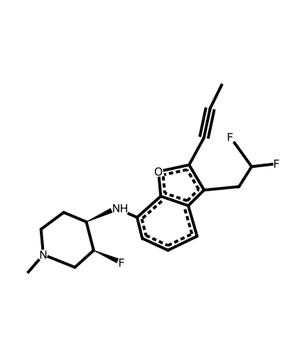 CC#Cc1oc2c(N[C@@H]3CCN(C)C[C@@H]3F)cccc2c1CC(F)F